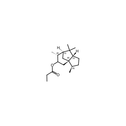 CCC(=O)OC1C[C@@]23C[C@@H]([C@H]1C)C(C)(C)[C@@H]2CC[C@H]3C